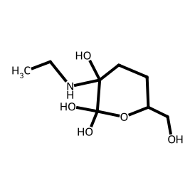 CCNC1(O)CCC(CO)OC1(O)O